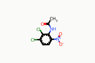 CC(=O)Nc1c([N+](=O)[O-])ccc(Cl)c1Cl